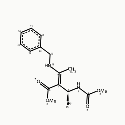 COC(=O)N[C@H](/C(C(=O)OC)=C(\C)NCc1ccccc1)C(C)C